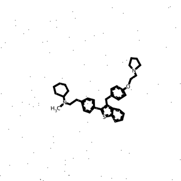 CN(CCc1ccc(-c2sc3ccccc3c2Cc2ccc(OCCN3CCCC3)cc2)cc1)C1CCCCC1